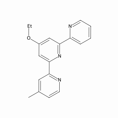 CCOc1cc(-c2ccccn2)nc(-c2cc(C)ccn2)c1